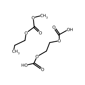 CCCOC(=O)OC.O=C(O)OCCOC(=O)O